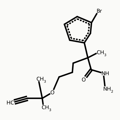 C#CC(C)(C)OCCCC(C)(C(=O)NN)c1cccc(Br)c1